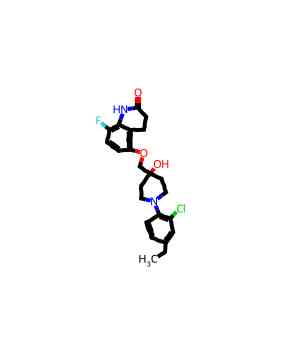 CCc1ccc(N2CCC(O)(COc3ccc(F)c4c3CCC(=O)N4)CC2)c(Cl)c1